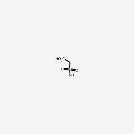 [NH]S(=O)(=O)CC(=O)O